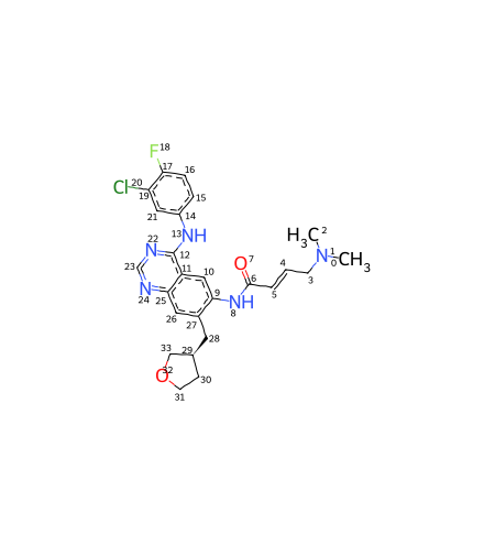 CN(C)C/C=C/C(=O)Nc1cc2c(Nc3ccc(F)c(Cl)c3)ncnc2cc1C[C@H]1CCOC1